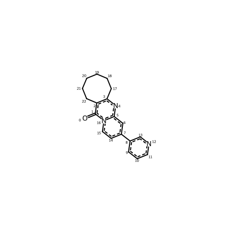 O=c1c2c(nc3cc(-c4cccnc4)ccn13)CCCCCC2